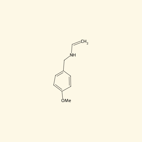 C=CNCc1ccc(OC)cc1